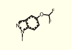 FC(F)Oc1ccc2c(cnn2I)c1